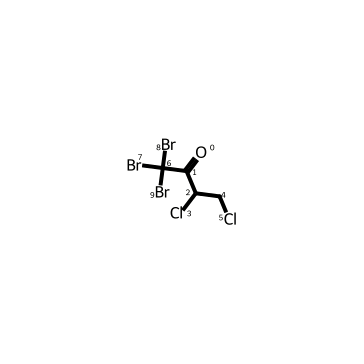 O=C(C(Cl)CCl)C(Br)(Br)Br